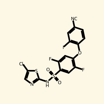 [C-]#[N+]c1ccc(Oc2cc(F)c(S(=O)(=O)Nc3ncc(Cl)s3)cc2F)c(I)c1